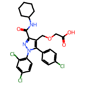 O=C(O)COCc1c(C(=O)NC2CCCCC2)nn(-c2ccc(Cl)cc2Cl)c1-c1ccc(Cl)cc1